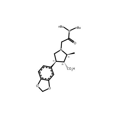 CCCCN(CCCC)C(=O)CN1C[C@H](c2ccc3c(c2)OCO3)[C@@H](C(=O)O)[C@@H]1C